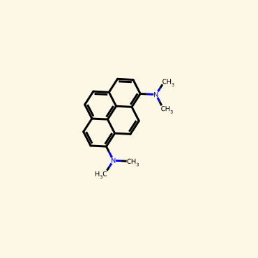 CN(C)c1ccc2ccc3ccc(N(C)C)c4ccc1c2c34